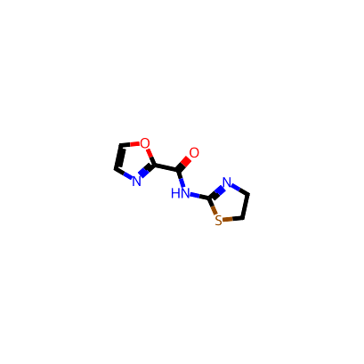 O=C(NC1=NCCS1)c1ncco1